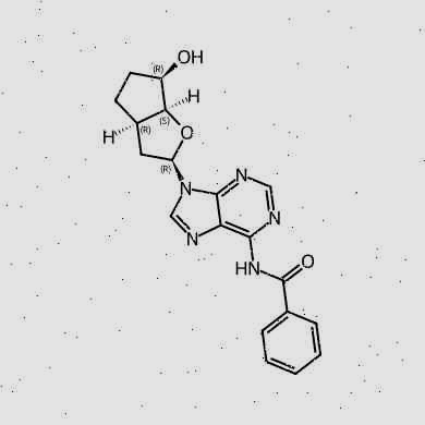 O=C(Nc1ncnc2c1ncn2[C@H]1C[C@H]2CC[C@@H](O)[C@H]2O1)c1ccccc1